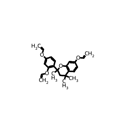 C=COc1ccc2c(c1)OC(C)(c1ccc(OC=C)cc1OC=C)CC2(C)C